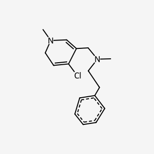 CN1C=C(CN(C)CCc2ccccc2)C(Cl)=CC1